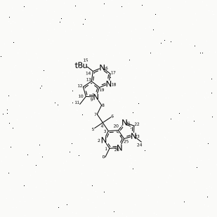 Cc1nc(C(C)(C)CCn2c(C)cc3c(C(C)(C)C)ncnc32)c2ncn(C)c2n1